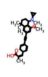 COc1cc(C#CC2=CCC(C=C(C)C(=O)O)C=C2)cc2c1C(N(C)C1CC1)CCC2(C)C